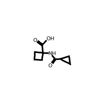 O=C(NC1(C(=O)O)CCC1)C1CC1